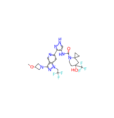 COC1CN(c2nn(CC(F)(F)F)c3cc(-c4n[nH]cc4NC(=O)N4CCC(O)(C(F)(F)F)CC45CC5)ncc23)C1